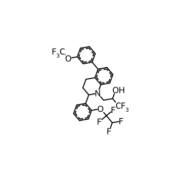 OC(CN1c2cccc(-c3cccc(OC(F)(F)F)c3)c2CCC1c1ccccc1OC(F)(F)C(F)F)C(F)(F)F